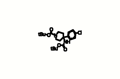 CC(C)(C)OC(=O)NC1(c2ccc(Cl)cc2)CCN(C(=O)OC(C)(C)C)CC1